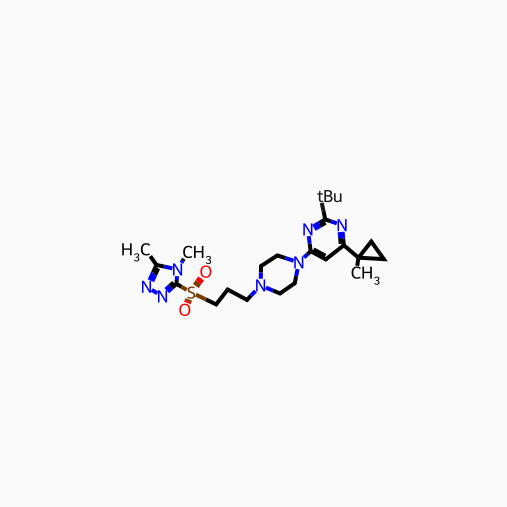 Cc1nnc(S(=O)(=O)CCCN2CCN(c3cc(C4(C)CC4)nc(C(C)(C)C)n3)CC2)n1C